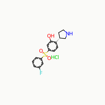 Cl.O=S(=O)(c1cccc(F)c1)c1ccc([C@@H]2CCNC2)c(O)c1